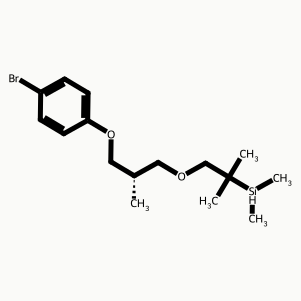 C[C@@H](COCC(C)(C)[SiH](C)C)COc1ccc(Br)cc1